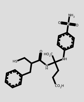 NS(=O)(=O)c1ccc(NC(CCC(=O)O)(NC(=O)C(CS)Cc2ccccc2)C(=O)O)cc1